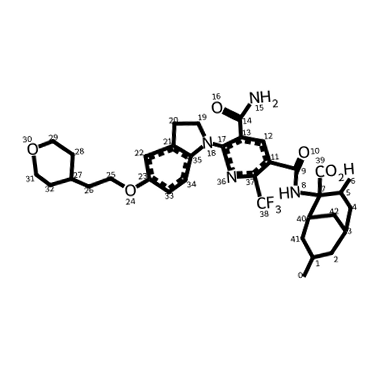 CC1CC2CC(C)C(NC(=O)c3cc(C(N)=O)c(N4CCc5cc(OCCC6CCOCC6)ccc54)nc3C(F)(F)F)(C(=O)O)C(C1)C2